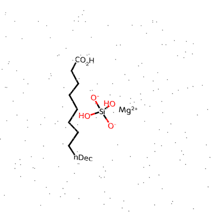 CCCCCCCCCCCCCCCCCC(=O)O.[Mg+2].[O-][Si]([O-])(O)O